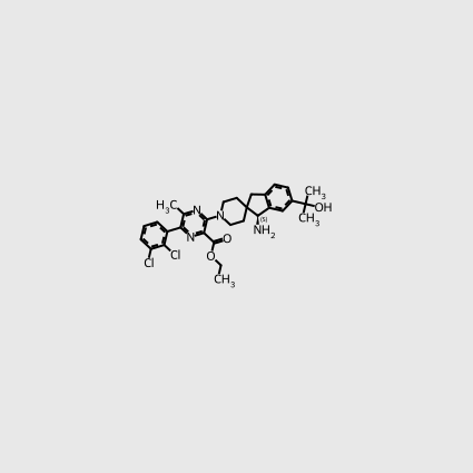 CCOC(=O)c1nc(-c2cccc(Cl)c2Cl)c(C)nc1N1CCC2(CC1)Cc1ccc(C(C)(C)O)cc1[C@H]2N